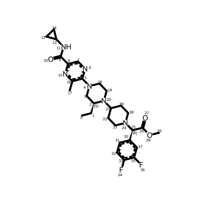 CC[C@H]1CN(c2ncc(C(=O)NC3CC3)nc2C)CCN1C1CCN([C@@H](C(=O)OC)c2ccc(F)c(F)c2)CC1